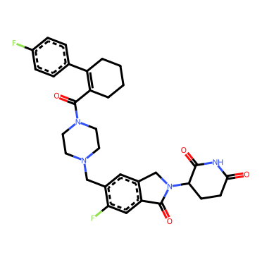 O=C1CCC(N2Cc3cc(CN4CCN(C(=O)C5=C(c6ccc(F)cc6)CCCC5)CC4)c(F)cc3C2=O)C(=O)N1